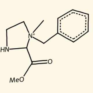 COC(=O)C1NCC[N+]1(C)Cc1ccccc1